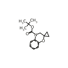 CC(C)(C)OC(=O)N1CC2(CC2)Oc2ccccc21